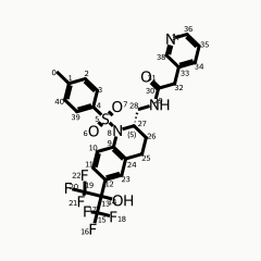 Cc1ccc(S(=O)(=O)N2c3ccc(C(O)(C(F)(F)F)C(F)(F)F)cc3CC[C@H]2CNC(=O)Cc2cccnc2)cc1